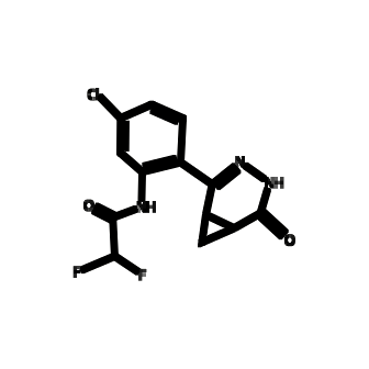 O=C(Nc1cc(Cl)ccc1C1=NNC(=O)C2CC12)C(F)F